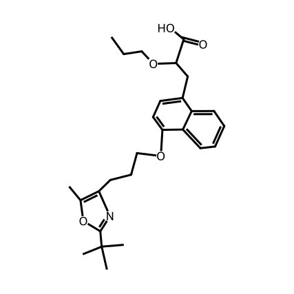 CCCOC(Cc1ccc(OCCCc2nc(C(C)(C)C)oc2C)c2ccccc12)C(=O)O